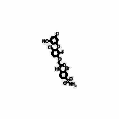 N#Cc1cc(Cl)cc(Oc2c(Cl)ccc(OCC(=O)Nc3ccc(S(N)(=O)=O)cc3Br)c2F)c1